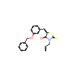 C=CCN1C(=O)/C(=C\c2cccc(OCc3ccccc3)c2)SC1=S